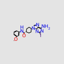 COc1cccc(NC(=O)[C@H]2CC[C@@H](n3cnc4c(N)nc(I)nc43)CC2)c1